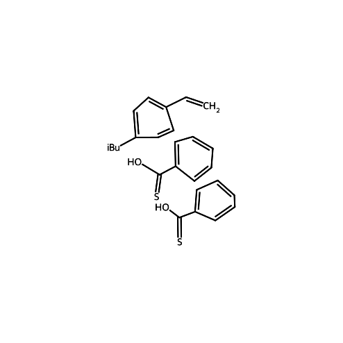 C=Cc1ccc(C(C)CC)cc1.OC(=S)c1ccccc1.OC(=S)c1ccccc1